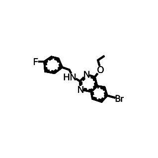 CCOc1nc(NCc2ccc(F)cc2)nc2ccc(Br)cc12